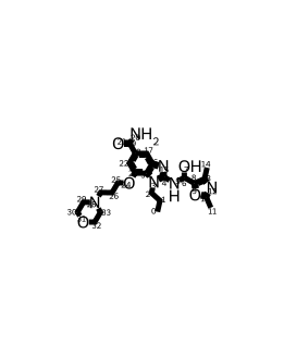 CCCn1c(NC(O)c2oc(C)nc2C)nc2cc(C(N)=O)cc(OCCCN3CCOCC3)c21